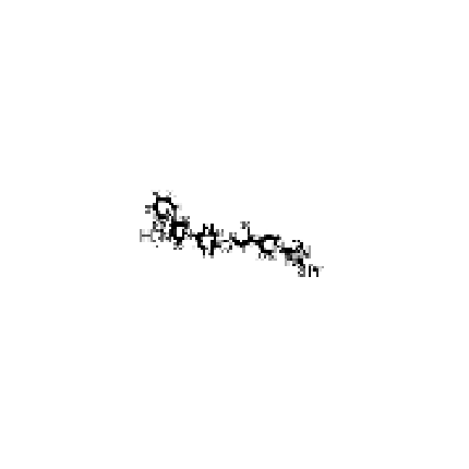 CC(C)c1noc(N2CCC([C@H](C)CCOc3cnc(N4C[C@H](N)[C@@H](N5CCCCC5=O)C4)cn3)CC2)n1